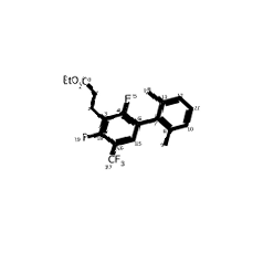 CCOC(=O)CCc1c(F)c(-c2c(C)cccc2C)cc(C(F)(F)F)c1F